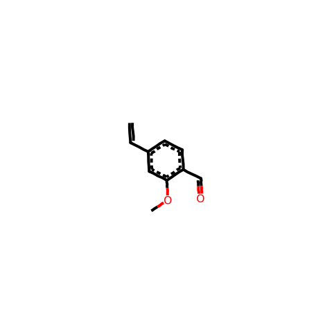 C=Cc1ccc(C=O)c(OC)c1